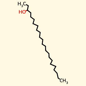 CCCCCCCCCCCCCCCCCCCCCC(O)CC